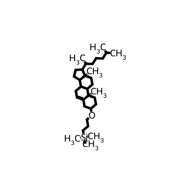 CC(C)CCCC(C)C1CCC2C3CC=C4CC(OCCC[Si](C)(C)C)CC[C@]4(C)C3CC[C@]12C